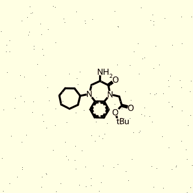 CC(C)(C)OC(=O)CN1C(=O)C(N)CN(C2CCCCCC2)c2ccccc21